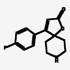 O=C1C=C(c2ccc(F)cc2)C2(CCNCC2)O1